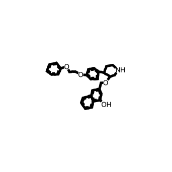 Oc1cc(COC2CNCCC2c2ccc(OCCOc3ccccc3)cc2)cc2ccccc12